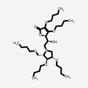 CCCCOC[C@H]1[C@H](OCCCC)[C@@H](OCCCC)CN1C[C@H](O)[C@H]1OC(=O)C(OCCCC)=C1OCCCC